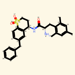 Cc1cc(C)c(C[C@H](N)C(=O)N[C@@H]2CCS(=O)(=O)c3ccc(Cc4ccccc4)cc32)c(C)c1